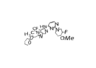 COC1CCN(c2nccc(Nc3cc4c(cn3)nc(COC3CCCCO3)n4C(C)C(F)(F)F)n2)CC1F